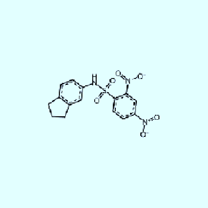 O=[N+]([O-])c1ccc(S(=O)(=O)Nc2ccc3c(c2)CCC3)c([N+](=O)[O-])c1